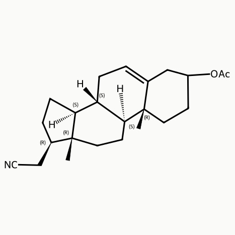 CC(=O)OC1CC[C@@]2(C)C(=CC[C@H]3[C@@H]4CC[C@H](CC#N)[C@@]4(C)CC[C@@H]32)C1